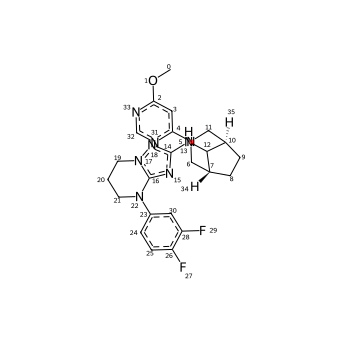 COc1cc(N2C[C@H]3CC[C@H](C2)C3Nc2nc3n(n2)CCCN3c2ccc(F)c(F)c2)ncn1